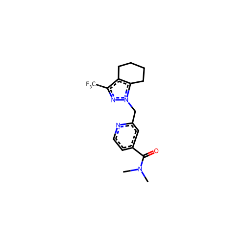 CN(C)C(=O)c1ccnc(Cn2nc(C(F)(F)F)c3c2CCCC3)c1